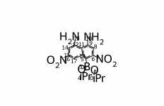 CC(C)OB(OC(C)C)c1c([N+](=O)[O-])cc(N)c2c(N)cc([N+](=O)[O-])cc12